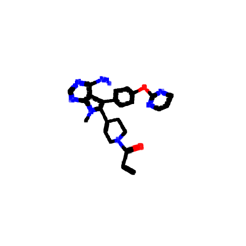 C=CC(=O)N1CC=C(c2c(-c3ccc(Oc4ncccn4)cc3)c3c(N)ncnc3n2C)CC1